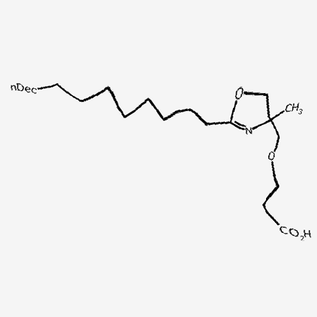 CCCCCCCCCCCCCCCCCCC1=NC(C)(COCCC(=O)O)CO1